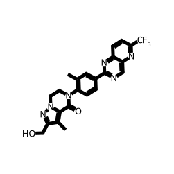 Cc1cc(-c2ncc3nc(C(F)(F)F)ccc3n2)ccc1N1CCn2nc(CO)c(C)c2C1=O